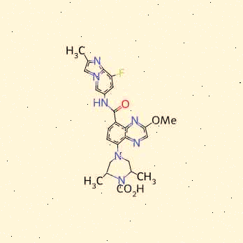 COc1cnc2c(N3CC(C)N(C(=O)O)C(C)C3)ccc(C(=O)Nc3cc(F)c4nc(C)cn4c3)c2n1